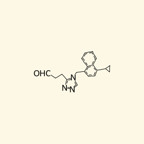 O=CCCc1nncn1Cc1ccc(C2CC2)c2ccccc12